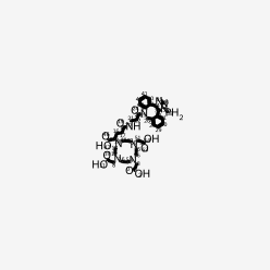 O=C(O)CN1CCN(CC(=O)O)CCN(C(CCC(=O)NCCC(=O)N2Cc3ccccc3C3C(N=NN3P)c3ccccc32)C(=O)O)CCN(CC(=O)O)CC1